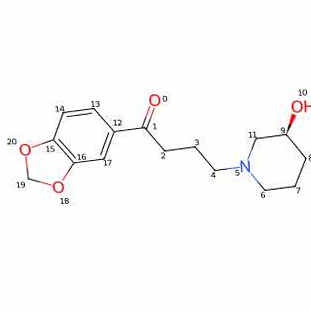 O=C(CCCN1CCC[C@H](O)C1)c1ccc2c(c1)OCO2